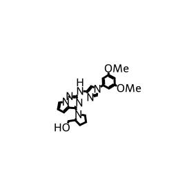 COc1cc(OC)cc(-n2cnc(Nc3nc(N4CCCC4CO)c4cccn4n3)c2)c1